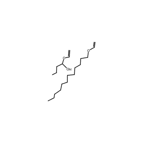 C=COC(O)CCC.C=COCCCCCCCCCCCC